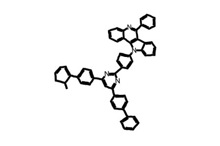 CC1CC=CC=C1c1ccc(-c2cc(-c3ccc(-c4ccccc4)cc3)nc(-c3ccc(-n4c5ccccc5c5c(-c6ccccc6)nc6ccccc6c54)cc3)n2)cc1